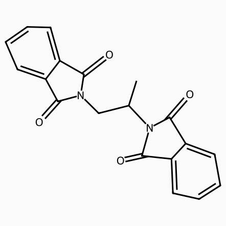 CC(CN1C(=O)c2ccccc2C1=O)N1C(=O)c2ccccc2C1=O